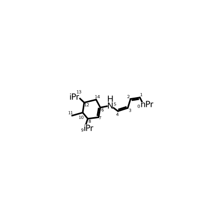 CCC/C=C\C=C/NC1=CC(C(C)C)C(C)C(C(C)C)C1